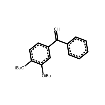 [CH]=C(c1cc[c]cc1)c1ccc(OCC(C)C)c(OCC(C)C)c1